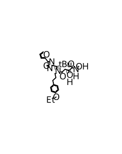 CCOc1ccc(CCCN(C(=O)C[C@H](O)C(=O)NO)[C@H](c2noc(-c3ccco3)n2)C(C)(C)C)cc1